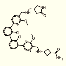 COc1nc(-c2cccc(-c3cccc(-c4cnc(CN[C@H]5C[C@@H](C(N)=O)C5)c(OC)n4)c3Cl)c2Cl)ccc1CNC[C@@H]1CNC(=O)C1